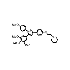 COc1ccc(-n2nc(-c3ccc(OCCN4CCCCC4)cc3)cc2-c2cc(OC)c(OC)c(OC)c2)cc1